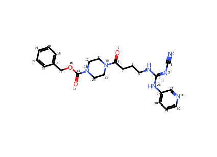 N#C/N=C(\NCCCC(=O)N1CCN(C(=O)OCc2ccccc2)CC1)Nc1cccnc1